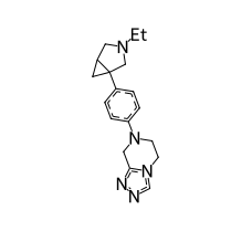 CCN1CC2CC2(c2ccc(N3CCn4cnnc4C3)cc2)C1